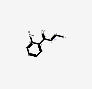 O=C(/C=C/I)c1ccccc1O